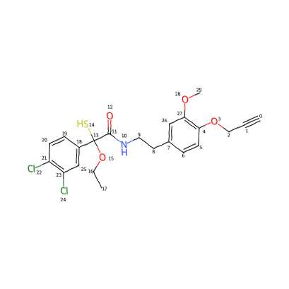 C#CCOc1ccc(CCNC(=O)C(S)(OCC)c2ccc(Cl)c(Cl)c2)cc1OC